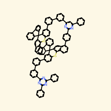 C1=CC2c3ccccc3C3(c4cc(-c5cccc(-c6cccc(-c7nc(-c8ccccc8)nc(-c8ccccc8)n7)c6)c5)ccc4Sc4c3ccc3c(-c5ccc(-c6nc(-c7ccccc7)cc(-c7cccc(-c8cccc(-c9ccc%10c(c9)C9(c%11ccccc%11-c%11ccccc%119)c9ccc%11ccccc%11c9S%10)c8)c7)n6)cc5)cccc43)C2C=C1